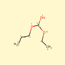 CCCOB(O)OCC